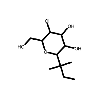 CCC(C)(C)C1OC(CO)C(O)C(O)C1O